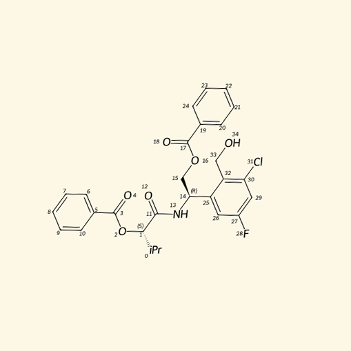 CC(C)[C@H](OC(=O)c1ccccc1)C(=O)N[C@@H](COC(=O)c1ccccc1)c1cc(F)cc(Cl)c1CO